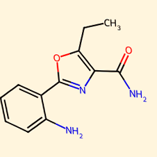 CCc1oc(-c2ccccc2N)nc1C(N)=O